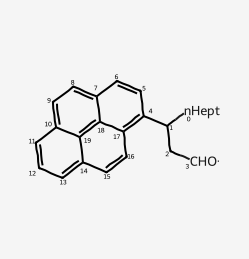 CCCCCCCC(C[C]=O)c1ccc2ccc3cccc4ccc1c2c34